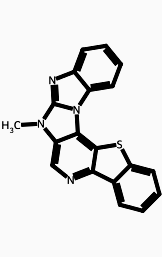 Cn1c2cnc3c4ccccc4sc3c2n2c3ccccc3nc12